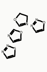 C1=NCCO1.c1cocn1.c1conn1.c1csnn1